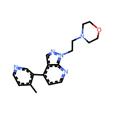 Cc1ccncc1-c1ccnc2c1cnn2CCN1CCOCC1